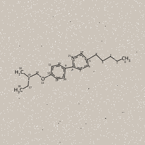 CCCCCc1ccc(-c2ccc(OCC(C)CC)cc2)nc1